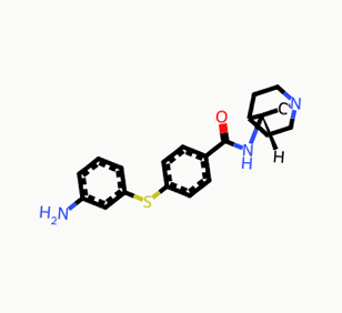 Nc1cccc(Sc2ccc(C(=O)N[C@H]3CN4CCC3CC4)cc2)c1